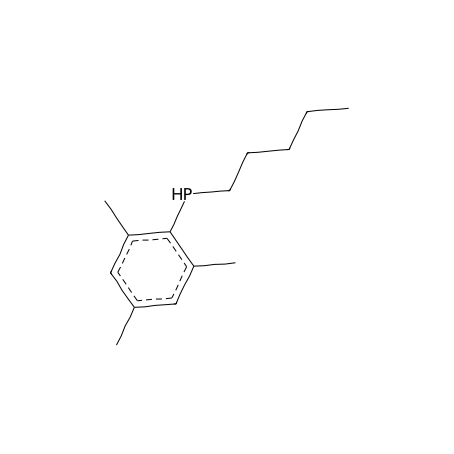 CCCCCPc1c(C)cc(C)cc1C